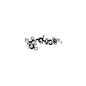 CCc1nc2ncc(Cl)cn2c1C(=O)NCc1cnc(-c2nc3n(n2)CCN(S(=O)(=O)C(F)(F)F)C3)c(F)c1